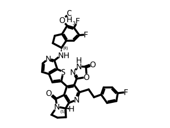 COc1c(F)c(F)cc2c1CC[C@H]2Nc1nccc2cc(-c3c4c(nc(CCc5ccc(F)cc5)c3-c3n[nH]c(=O)o3)[C@@H]3CCCN3C4=O)sc12